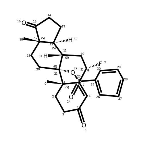 C[C@]12CCC(=O)C=C1[C@@H](F)C[C@H]1[C@@H]3CCC(=O)[C@@]3(C)CC[C@@]12OS(=O)c1ccccc1